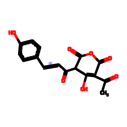 CC(=O)C1=C(O)C(C(=O)/C=C/c2ccc(O)cc2)C(=O)OC1=O